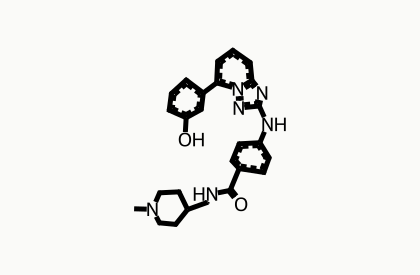 CN1CCC(CNC(=O)c2ccc(Nc3nc4cccc(-c5cccc(O)c5)n4n3)cc2)CC1